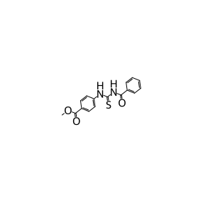 COC(=O)c1ccc(NC(=S)NC(=O)c2ccccc2)cc1